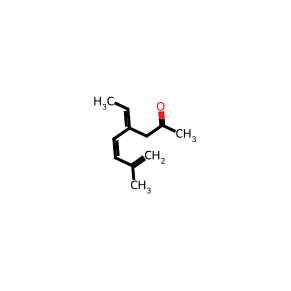 C=C(C)/C=C\C(=C/C)CC(C)=O